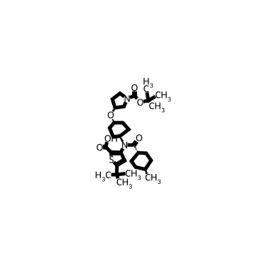 CC(C)(C)OC(=O)N1CC[C@H](O[C@H]2CC[C@H](N(c3cc(C(C)(C)C)sc3C(=O)O)C(=O)[C@H]3CC[C@H](C)CC3)CC2)C1